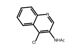 CC(=O)Nc1cnc2ccccc2c1Cl